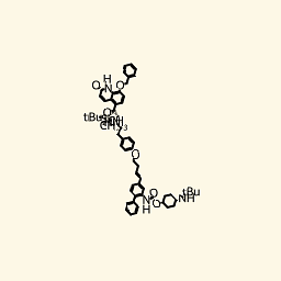 CC(C)(C)N[C@H]1CC[C@H](OC(=O)Nc2cc(C=CCCOc3ccc(CCNC[C@H](O[Si](C)(C)C(C)(C)C)c4ccc(OCc5ccccc5)c5[nH]c(=O)ccc45)cc3)ccc2-c2ccccc2)CC1